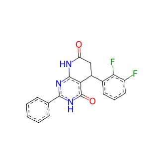 O=C1CC(c2cccc(F)c2F)c2c(nc(-c3ccccc3)[nH]c2=O)N1